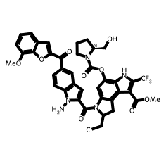 COC(=O)c1c(C(F)(F)F)[nH]c2c(OC(=O)N3CCC[C@H]3CO)cc3c(c12)CC(CCl)N3C(=O)c1cc2cc(C(=O)c3cc4cccc(OC)c4o3)ccc2n1N